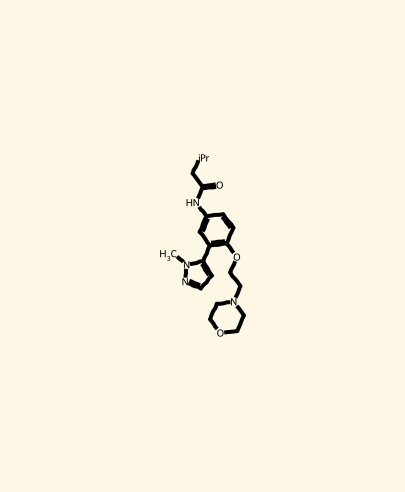 CC(C)CC(=O)Nc1ccc(OCCN2CCOCC2)c(-c2ccnn2C)c1